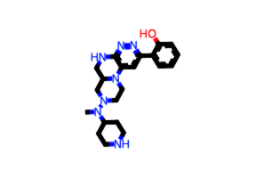 CN(C1CCNCC1)N1CCN2c3cc(-c4ccccc4O)nnc3NCC2C1